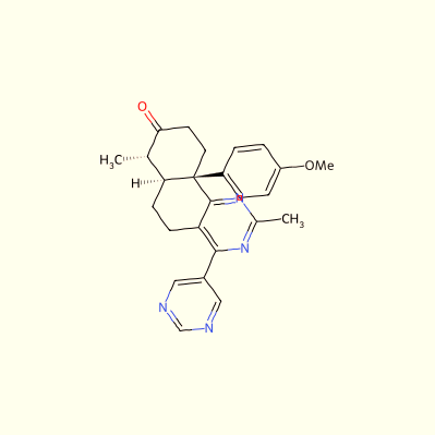 COc1ccc([C@]23CCC(=O)[C@@H](C)[C@@H]2CCc2c(-c4cncnc4)nc(C)nc23)cc1